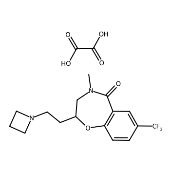 CN1CC(CCN2CCC2)Oc2ccc(C(F)(F)F)cc2C1=O.O=C(O)C(=O)O